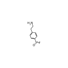 NCCc1ccc([S+]([O-])F)cc1